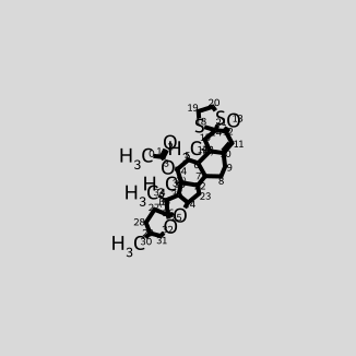 CC(=O)OC1CC2C(CCC3=CC(=O)C4(C[C@@]32C)SCCS4)C2CC3OC4(CCC(C)CO4)[C@@H](C)C3[C@@]12C